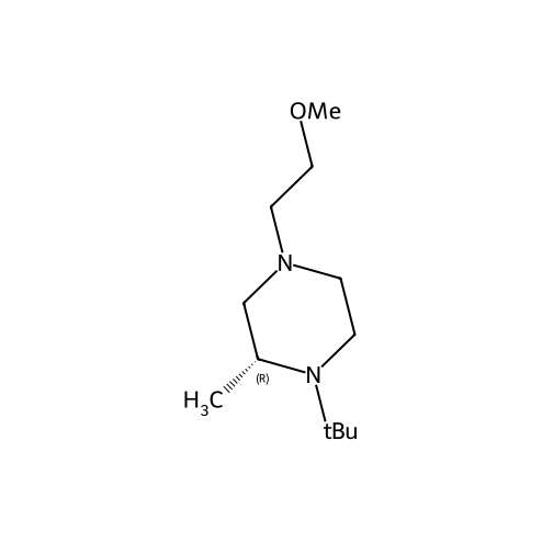 COCCN1CCN(C(C)(C)C)[C@H](C)C1